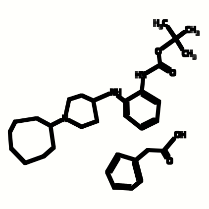 CC(C)(C)OC(=O)Nc1ccccc1NC1CCN(C2CCCCCCC2)CC1.O=C(O)Cc1ccccc1